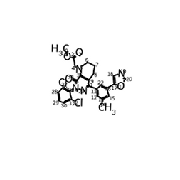 COC(=O)CN1CCCc2c(-c3cc(C)cc(-c4cnco4)c3)nn(-c3c(Cl)cccc3Cl)c(=O)c21